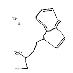 CC[CH]([Zr+2])CCC1C=Cc2ccccc21.[Cl-].[Cl-]